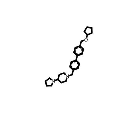 c1cc(-c2ccc(CN3CCC(N4CCCC4)CC3)cc2)ccc1COC1CCCC1